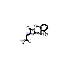 CNC(=O)/C=C1\SC(Nc2c(Cl)cccc2Cl)=NC1=O